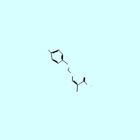 COC(=O)C(C)=COCOc1ccc(Br)cc1